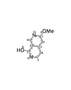 COc1cc2ccnc(O)c2cn1